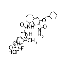 CC(=O)N[C@@H](Cc1ccc(C(F)(F)P(=O)(O)O)cc1)C(=O)N[C@H]1CCCCc2cc(OCC3CCCCC3)c(C(N)=O)cc21